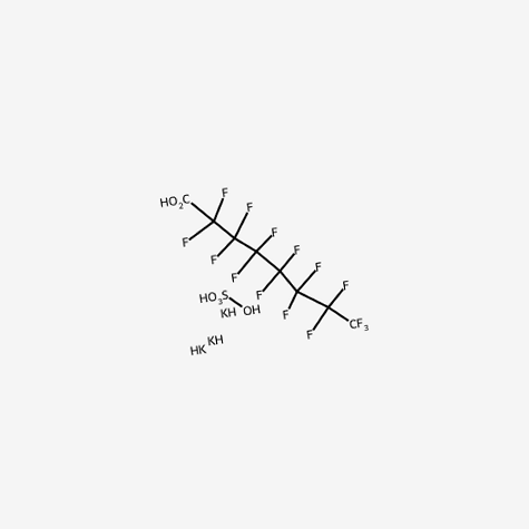 O=C(O)C(F)(F)C(F)(F)C(F)(F)C(F)(F)C(F)(F)C(F)(F)C(F)(F)F.O=S(=O)(O)O.[KH].[KH].[KH]